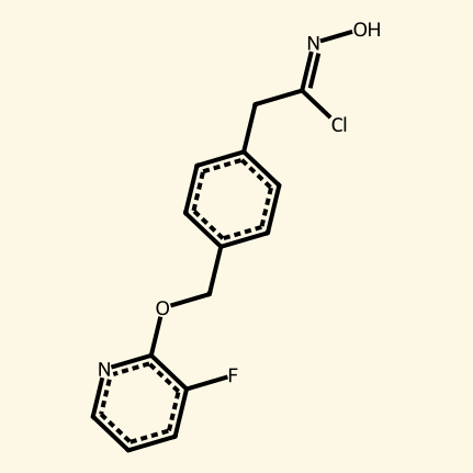 ON=C(Cl)Cc1ccc(COc2ncccc2F)cc1